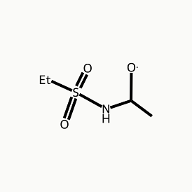 CCS(=O)(=O)NC(C)[O]